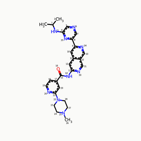 CC(C)Nc1cncc(-c2cc3cc(NC(=O)c4ccnc(N5CCN(C)CC5)c4)ncc3cn2)n1